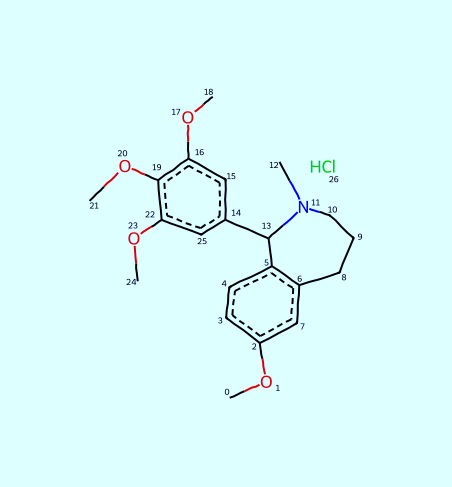 COc1ccc2c(c1)CCCN(C)C2c1cc(OC)c(OC)c(OC)c1.Cl